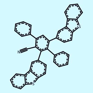 N#Cc1c(-c2ccccc2)cc(-c2ccc3sc4ccccc4c3c2)c(-c2ccccc2)c1-c1ccc2sc3ccccc3c2c1